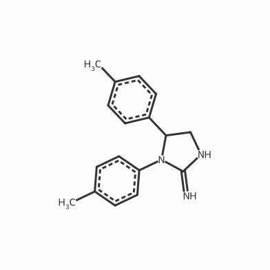 Cc1ccc(C2CNC(=N)N2c2ccc(C)cc2)cc1